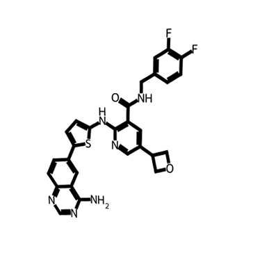 Nc1ncnc2ccc(-c3ccc(Nc4ncc(C5COC5)cc4C(=O)NCc4ccc(F)c(F)c4)s3)cc12